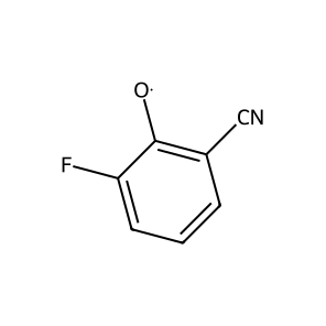 N#Cc1cccc(F)c1[O]